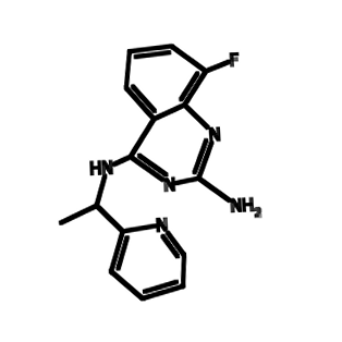 CC(Nc1nc(N)nc2c(F)cccc12)c1ccccn1